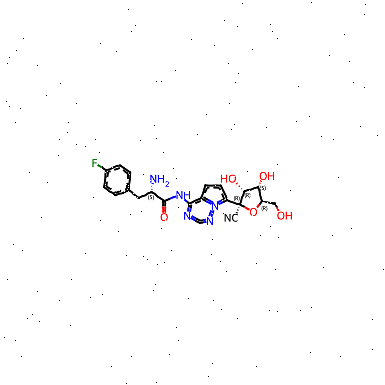 N#C[C@@]1(c2ccc3c(NC(=O)[C@@H](N)Cc4ccc(F)cc4)ncnn23)O[C@H](CO)[C@@H](O)[C@H]1O